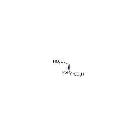 O=C(O)/C=C/C(=O)O.[PbH2]